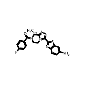 C[C@@H]1c2nnc(-c3nc4ccc(N)cc4s3)n2CCN1C(=O)c1ccc(F)cc1